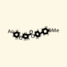 COc1ccc(-c2ccc(OC(=O)c3ccc(Oc4ccc(C(C)=O)cc4)cc3)cc2)cc1